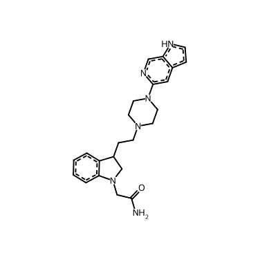 NC(=O)CN1CC(CCN2CCN(c3cc4cc[nH]c4cn3)CC2)c2ccccc21